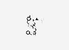 CC1(C)C[C@@H]1C(=O)N1CC2(CN(C(=O)c3cnn(Cc4ccccc4)c3)CC2c2noc(Cc3ccc(Cl)cc3)n2)C1